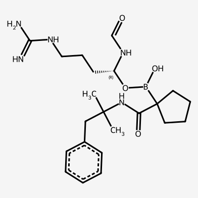 CC(C)(Cc1ccccc1)NC(=O)C1(B(O)O[C@H](CCCNC(=N)N)NC=O)CCCC1